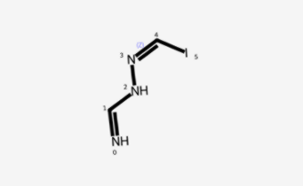 N=CN/N=C\I